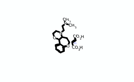 CN(C)CCN1CCOC2c3ccccc3OCCC21.O=C(O)/C=C/C(=O)O